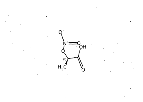 C[C@@H](O[N+](=O)[O-])C(=O)O